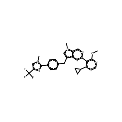 COc1ncnc(C2CC2)c1-c1ncc2c(n1)c(Cc1ccc(-c3nc(C(F)(F)F)cn3C)cc1)cn2C